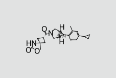 Cc1cc(C2CC2)ccc1[C@H]1[C@@H]2CN(C(=O)[C@H]3C[C@]4(COC(=O)N4)C3)C[C@@H]21